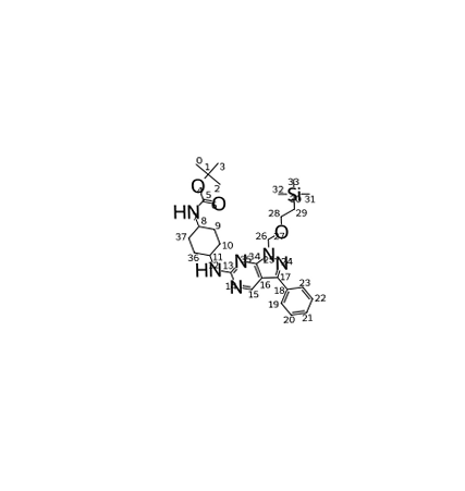 CC(C)(C)OC(=O)NC1CCC(Nc2ncc3c(-c4ccccc4)nn(COCC[Si](C)(C)C)c3n2)CC1